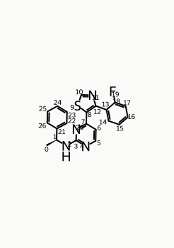 C[C@H](Nc1nccc(-c2scnc2-c2ccccc2F)n1)c1ccccc1